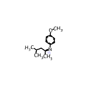 COc1ccc(/N=C(/C)CC(C)C)cc1